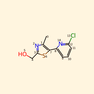 Cc1nc(CO)sc1-c1cccc(Cl)n1